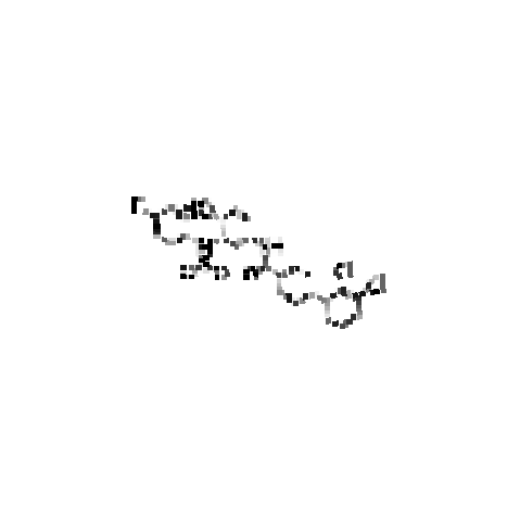 O=C(Nc1ccc(O)c(N(c2ccc(F)cc2)[SH](=O)=O)c1)c1ccc(-c2cccc(Cl)c2Cl)cc1